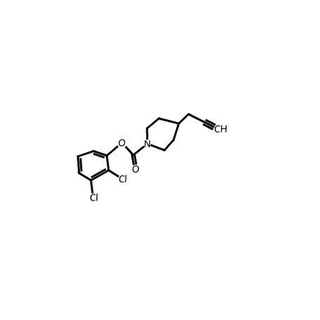 C#CCC1CCN(C(=O)Oc2cccc(Cl)c2Cl)CC1